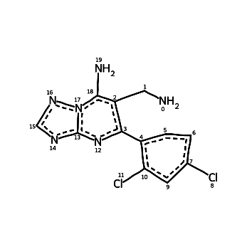 NCc1c(-c2ccc(Cl)cc2Cl)nc2ncnn2c1N